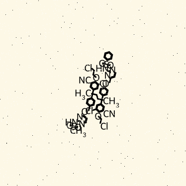 CC(CCC(C)(c1ccc(OCc2ccnc(NS(=O)(=O)c3ccccc3)n2)cc1)c1cc(Cl)c(OCCCl)c(C#N)c1)(c1ccc(COc2ccnc(NS(C)(=O)=O)n2)cc1)c1cc(Cl)c(OCCCl)c(C#N)c1